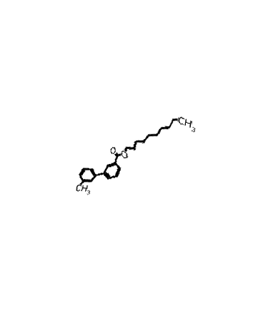 CCCCCCCCCCOC(=O)c1cccc(-c2cccc(C)c2)c1